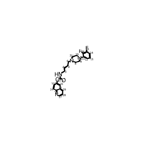 O=C(NCCCCN1CCN(c2cccc(F)c2F)CC1)Oc1ccc2ncccc2c1